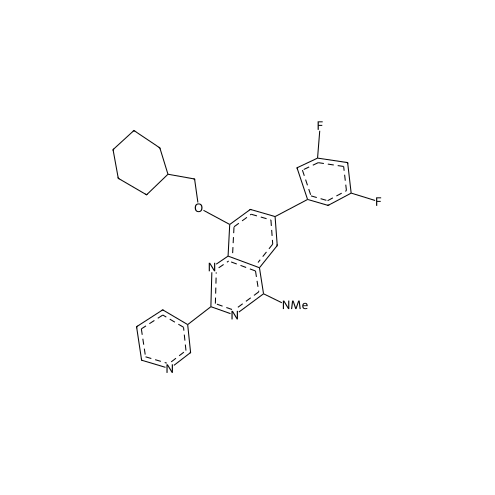 CNc1nc(-c2cccnc2)nc2c(OCC3CCCCC3)cc(-c3cc(F)cc(F)c3)cc12